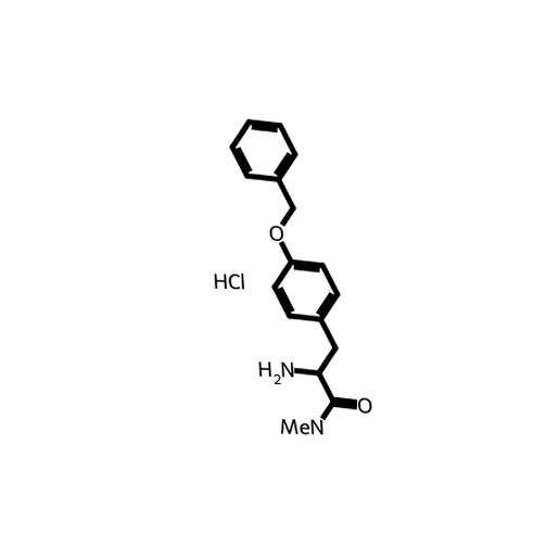 CNC(=O)C(N)Cc1ccc(OCc2ccccc2)cc1.Cl